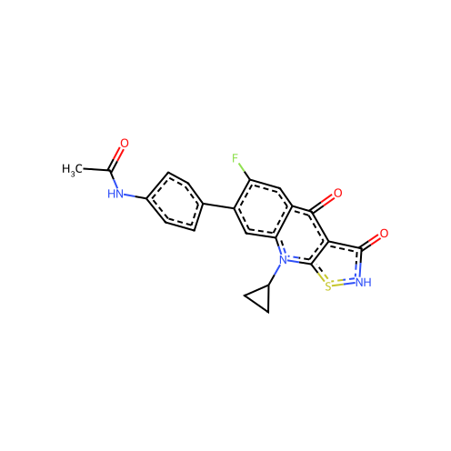 CC(=O)Nc1ccc(-c2cc3c(cc2F)c(=O)c2c(=O)[nH]sc2n3C2CC2)cc1